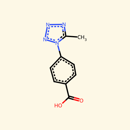 Cc1nnnn1-c1ccc(C(=O)O)cc1